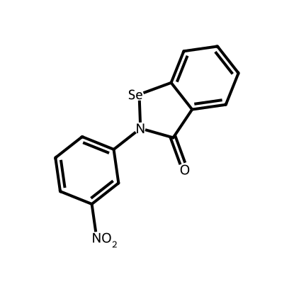 O=c1c2ccccc2[se]n1-c1cccc([N+](=O)[O-])c1